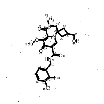 CCCCOc1c2n(cc(C(=O)NCc3cccc(Cl)c3F)c1=O)C1(CC(CO)C1)CN(C)C2=O